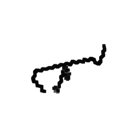 CCCCC/C=C\C/C=C\CCCCCCCCC(CCCCCCCC/C=C\C/C=C\CCCCC)N(C)CC(CCCCN(C)C)N(C)C